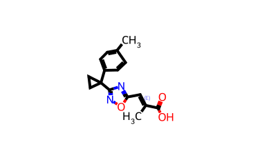 C/C(=C\c1nc(C2(c3ccc(C)cc3)CC2)no1)C(=O)O